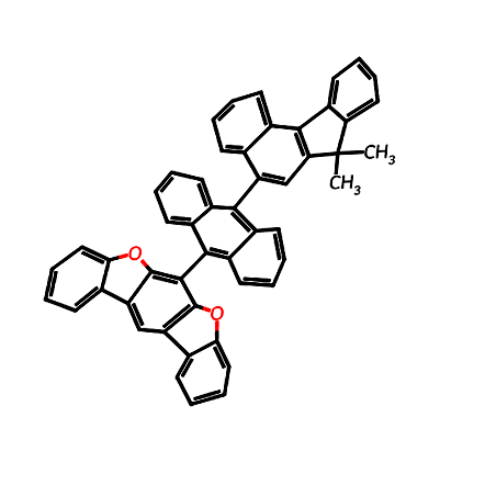 CC1(C)c2ccccc2-c2c1cc(-c1c3ccccc3c(-c3c4oc5ccccc5c4cc4c3oc3ccccc34)c3ccccc13)c1ccccc21